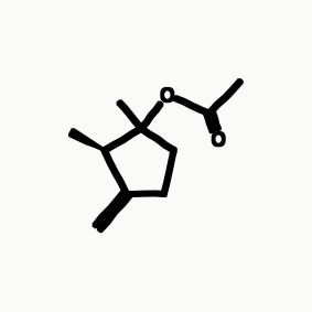 C=C1CCC(C)(OC(C)=O)[C@@H]1C